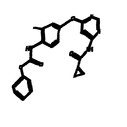 Cc1cc(Oc2cc(NC(=O)C3CC3)ncn2)ccc1NC(=O)Oc1ccccc1